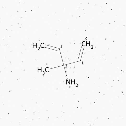 C=CC(C)(N)C=C